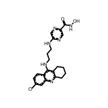 O=C(NO)c1cnc(NCCCNc2c3c(nc4cc(Cl)ccc24)CCCC3)cn1